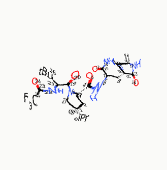 CC(C)[C@H]1C[C@@H](C(=O)NC(C[C@@H]2CCNC2=O)C(N)=O)N(C(=O)C(NC(=O)C(F)(F)F)C(C)(C)C)C1